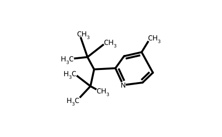 Cc1ccnc(C(C(C)(C)C)C(C)(C)C)c1